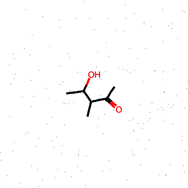 CC(=O)C(C)C(C)O